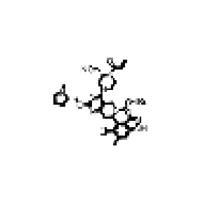 C=CC(=O)N1CCN(c2nc(OC[C@@H]3CCCN3C)nc3c2CN(C(=O)OC(C)(C)C)C(c2c(Cl)c(C)cc4[nH]ncc24)C3)C[C@@H]1CC#N